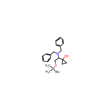 CC(C)(C)[Si](C)(C)OCC(N(Cc1ccccc1)Cc1ccccc1)C1(O)CC1